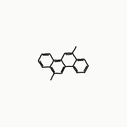 Cc1cc2c3ccccc3c(C)cc2c2ccccc12